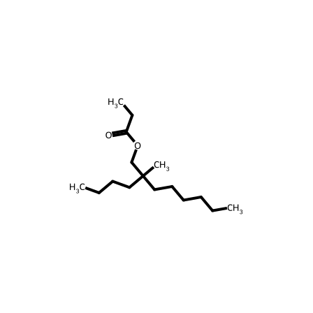 CCCCCCC(C)(CCCC)COC(=O)CC